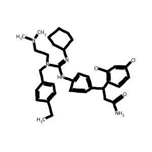 CCc1ccc(CN(CCN(C)C)/C(=N\C2CCCCC2)Nc2ccc(C(CC(N)=O)c3ccc(Cl)cc3Cl)cc2)cc1